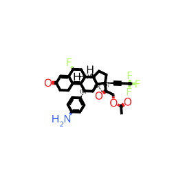 CC(=O)OCC(=O)[C@@]1(C#CC(F)(F)F)CC[C@H]2[C@@H]3CC(F)C4=CC(=O)CCC4=C3[C@@H](c3ccc(N)cc3)C[C@@]21C